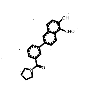 O=Cc1c(O)ccc2cc(-c3cccc(C(=O)N4CCCC4)c3)ccc12